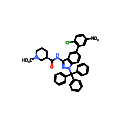 O=C(Nc1nn(C(c2ccccc2)(c2ccccc2)c2ccccc2)c2ccc(-c3cc([N+](=O)[O-])ccc3Cl)cc12)[C@@H]1CCCN(C(=O)O)C1